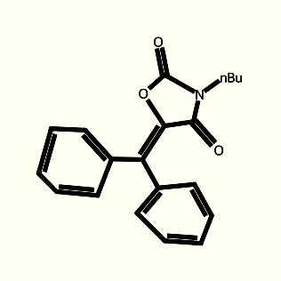 CCCCN1C(=O)OC(=C(c2ccccc2)c2ccccc2)C1=O